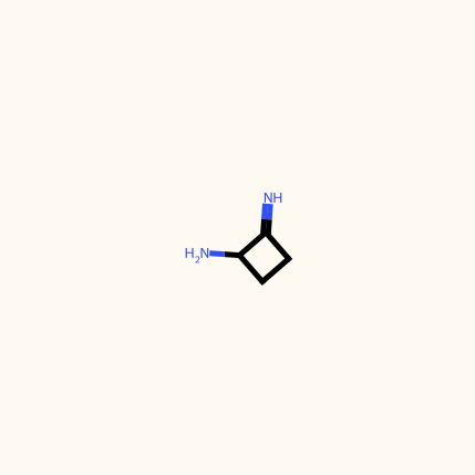 N=C1CCC1N